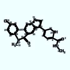 CNC(=O)C1=CC=C(c2cnn3ccc(C(=O)N(C)c4ccc(Cl)cc4)cc23)CN1